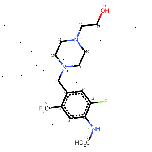 O=C(O)Nc1cc(C(F)(F)F)c(CN2CCN(CCO)CC2)cc1F